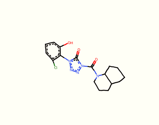 O=C(N1CCCC2CCCCC21)n1nnn(-c2c(O)cccc2Cl)c1=O